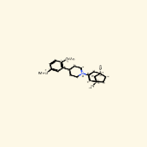 COc1ccc(OC)c(C2CCN(C3C[C@H]4CC[C@H](C3)C4)CC2)c1